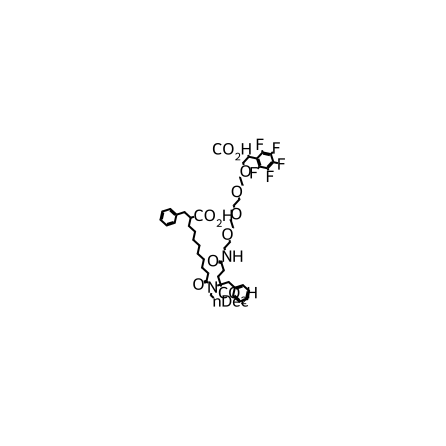 CCCCCCCCCCCN(C(=O)CCCCCCCCC(Cc1ccccc1)C(=O)O)C(CCC(=O)NCCOCCOCCOCCOCC(C(=O)O)c1c(F)c(F)c(F)c(F)c1F)(Cc1ccccc1)C(=O)O